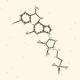 CC(Nc1nc(C#N)nc2c1ccn2[C@@H]1O[C@H](COCP(=O)(O)O)[C@@H](O)[C@H]1O)c1ccc(F)cc1